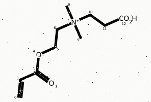 C=CC(=O)OCC[N+](C)(C)CCC(=O)O